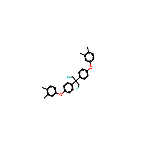 Cc1ccc(Oc2ccc(C(CF)(CF)c3ccc(Oc4ccc(C)c(C)c4)cc3)cc2)cc1C